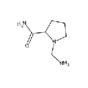 NCN1CCCC1C(N)=O